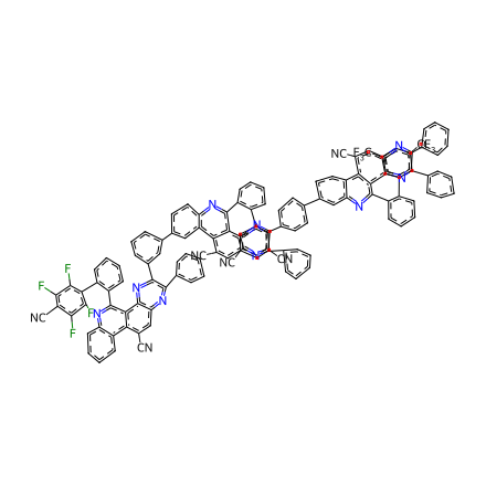 N#Cc1cc(C#N)cc(-c2ccccc2-c2nc3ccc(-c4cccc(-c5nc6c(cc(C#N)c7c8ccccc8nc(-c8ccccc8-c8c(F)c(F)c(C#N)c(F)c8F)c67)nc5-c5ccccc5)c4)cc3c3c(C#N)cc4nc(-c5ccccc5)c(-c5ccc(-c6ccc7c(c6)nc(-c6ccccc6-c6cc(C(F)(F)F)cc(C(F)(F)F)c6)c6c8nc(-c9ccccc9)c(-c9ccccc9)nc8cc(C#N)c76)cc5)nc4c23)c1